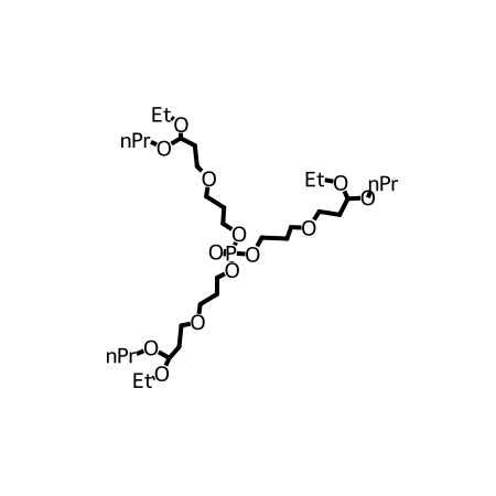 CCCOC(CCOCCCOP(=O)(OCCCOCCC(OCC)OCCC)OCCCOCCC(OCC)OCCC)OCC